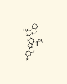 CNc1cc(C(=O)N2CCc3ccccc3C2C)nc2cc(-c3ccc(Br)cc3F)nn12